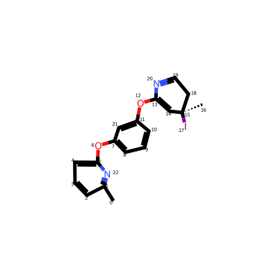 Cc1cccc(Oc2cccc(OC3=C[C@](C)(I)CC=N3)c2)n1